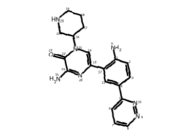 Nc1ccc(-c2cccnn2)cc1-c1cn(C2CCCNC2)c(=O)c(N)n1